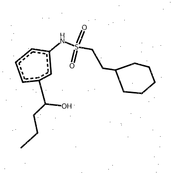 CCCC(O)c1cccc(NS(=O)(=O)CCC2CCCCC2)c1